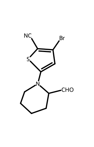 N#Cc1sc(N2CCCCC2C=O)cc1Br